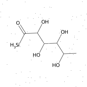 CC(O)C(O)C(O)C(O)C(=O)[SiH3]